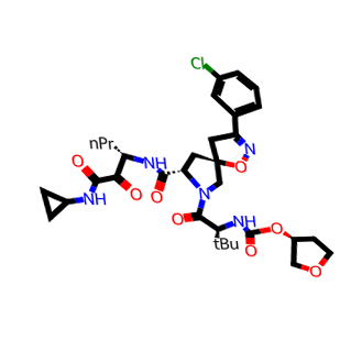 CCC[C@H](NC(=O)[C@@H]1C[C@]2(CC(c3cccc(Cl)c3)=NO2)CN1C(=O)[C@@H](NC(=O)O[C@H]1CCOC1)C(C)(C)C)C(=O)C(=O)NC1CC1